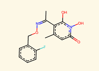 CC(=NOCc1ccccc1F)c1c(C)cc(=O)n(O)c1O